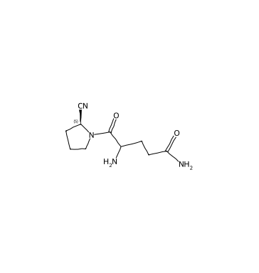 N#C[C@@H]1CCCN1C(=O)C(N)CCC(N)=O